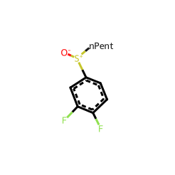 [CH2]CCCC[S+]([O-])c1ccc(F)c(F)c1